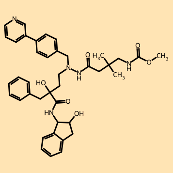 COC(=O)NCC(C)(C)CC(=O)NN(CCC(O)(Cc1ccccc1)C(=O)NC1c2ccccc2CC1O)Cc1ccc(-c2cccnc2)cc1